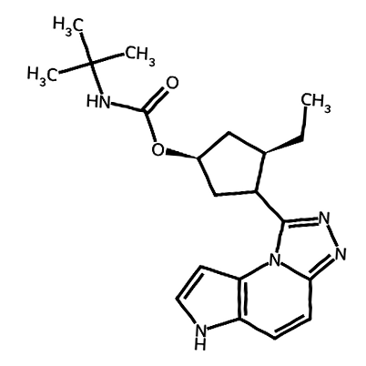 CC[C@@H]1C[C@H](OC(=O)NC(C)(C)C)CC1c1nnc2ccc3[nH]ccc3n12